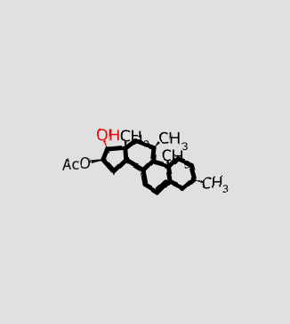 CC(=O)O[C@@H]1CC2C3CC=C4C[C@@H](C)CC[C@]4(C)C3[C@@H](C)C[C@]2(C)[C@H]1O